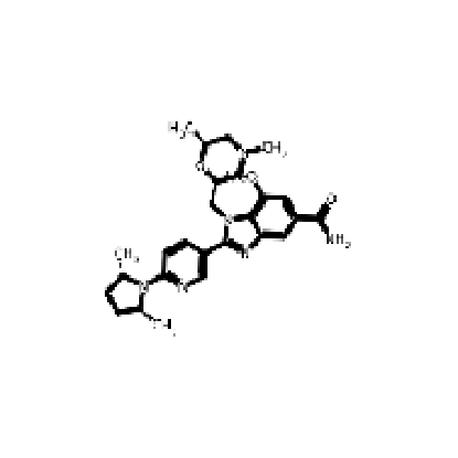 COc1cc(C(N)=O)cc2nc(-c3ccc(N4[C@@H](C)CC[C@@H]4C)nc3)n(C[C@@H]3CN(C)C[C@H](C)O3)c12